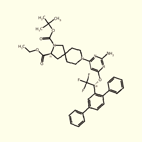 CCOC(=O)[C@@H]1CC2(CCN(c3cc(O[C@H](c4cc(-c5ccccc5)ccc4-c4ccccc4)C(F)(F)F)nc(N)n3)CC2)CN1C(=O)OC(C)(C)C